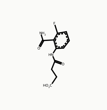 NC(=O)c1c(F)cccc1NC(=O)CCC(=O)O